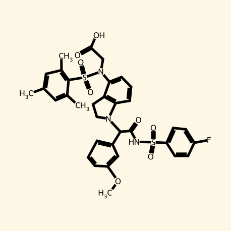 COc1cccc(C(C(=O)NS(=O)(=O)c2ccc(F)cc2)N2CCc3c2cccc3N(CC(=O)O)S(=O)(=O)c2c(C)cc(C)cc2C)c1